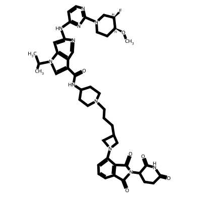 CO[C@H]1CCN(c2nccc(Nc3cc4c(cn3)c(C(=O)NC3CCN(CCCC5CN(c6cccc7c6C(=O)N(C6CCC(=O)NC6=O)C7=O)C5)CC3)cn4C(C)C)n2)C[C@H]1F